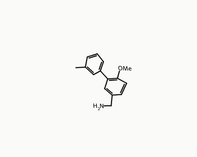 COc1ccc(CN)cc1-c1cccc(C)c1